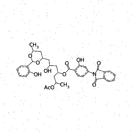 CC(=O)OC(C)CC(CC(O)CC1CC(C)OC(c2ccccc2O)O1)OC(=O)c1ccc(N2C(=O)c3ccccc3C2=O)cc1O